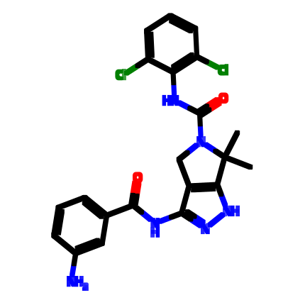 CC1(C)c2[nH]nc(NC(=O)c3cccc(N)c3)c2CN1C(=O)Nc1c(Cl)cccc1Cl